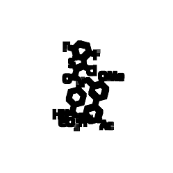 COc1ccc(-c2cccc(C(C)=O)c2)cc1CN(C(=O)c1sc2c(F)ccc(F)c2c1Cl)C1CCC(C(NC(=O)O)C(C)(C)C)CC1